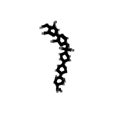 CC1COC(C2CCC(C3CCC(C(F)(F)Oc4ccc(-c5cc(F)c(CF)c(F)c5)c(F)c4)CC3)CC2)OC1